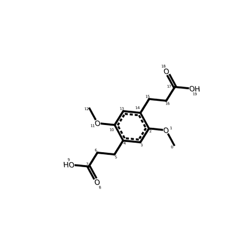 COc1cc(CCC(=O)O)c(OC)cc1CCC(=O)O